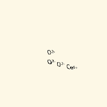 [Ce+6].[O-2].[O-2].[O-2]